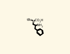 CC(C)(C)N(CC(N)Cc1ccccc1)C(=O)O